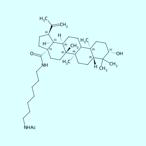 C=C(C)[C@@H]1CC[C@]2(C(=O)NCCCCCCCNC(C)=O)CC[C@]3(C)[C@H](CCC4[C@@]5(C)CC[C@H](O)C(C)(C)[C@@H]5CC[C@]43C)[C@H]12